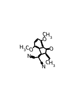 C/C=C1/C(=O)c2c(OC)ccc(OC)c2C1=C(C#N)C#N